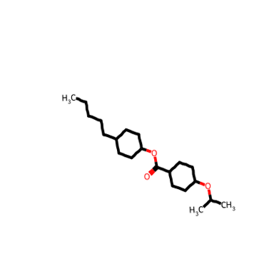 CCCCCC1CCC(OC(=O)C2CCC(OC(C)C)CC2)CC1